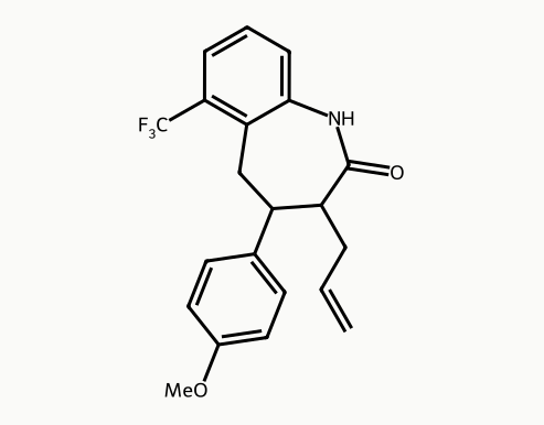 C=CCC1C(=O)Nc2cccc(C(F)(F)F)c2CC1c1ccc(OC)cc1